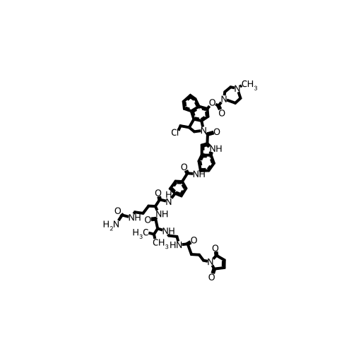 CC(C)C(NCCNC(=O)CCCN1C(=O)C=CC1=O)C(=O)NC(CCCNC(N)=O)C(=O)Nc1ccc(C(=O)Nc2ccc3[nH]c(C(=O)N4CC(CCl)c5c4cc(OC(=O)N4CCN(C)CC4)c4ccccc54)cc3c2)cc1